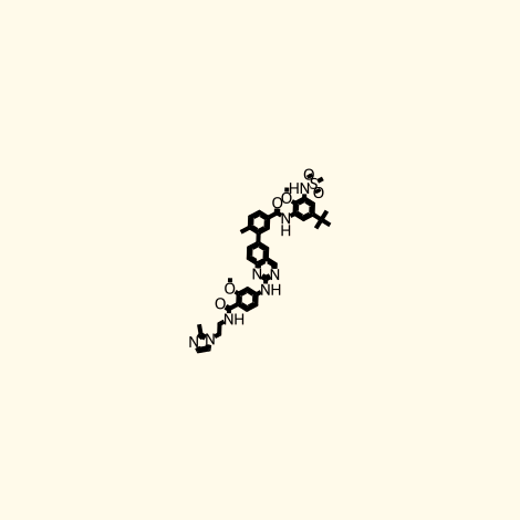 COc1cc(Nc2ncc3cc(-c4cc(C(=O)Nc5cc(C(C)(C)C)cc(NS(C)(=O)=O)c5OC)ccc4C)ccc3n2)ccc1C(=O)NCCn1ccnc1C